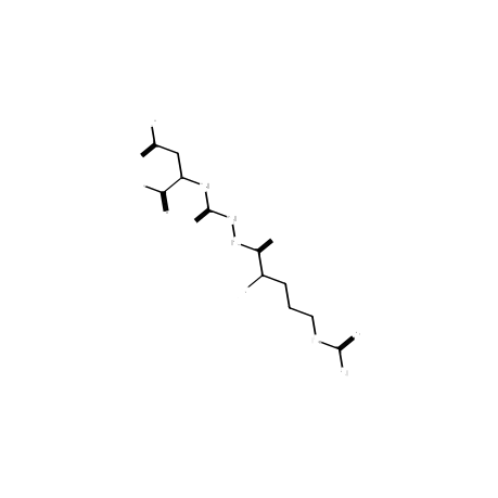 N=C(N)NCCCC(N)C(=O)NNC(=O)NC(CC(=O)O)C(=O)O